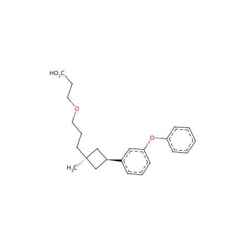 C[C@]1(CCCOCCC(=O)O)C[C@@H](c2cccc(Oc3ccccc3)c2)C1